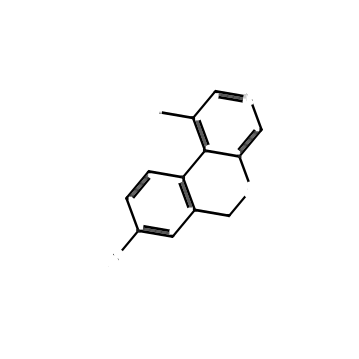 Nc1ccc2c(c1)COc1cncc(Cl)c1-2